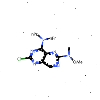 CCCN(CCC)c1nc(Cl)nc2cnc(N(C)OC)nc12